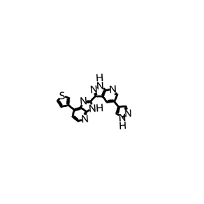 c1cc(-c2ccsc2)c2nc(-c3n[nH]c4ncc(-c5cn[nH]c5)cc34)[nH]c2n1